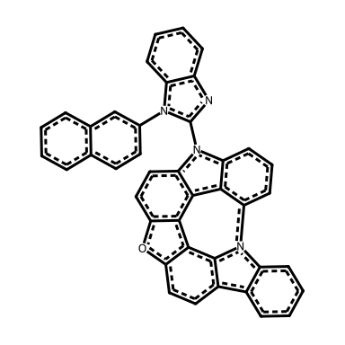 c1ccc2cc(-n3c(-n4c5ccc6oc7ccc8c9ccccc9n9c%10cccc4c%10c5c6c7c89)nc4ccccc43)ccc2c1